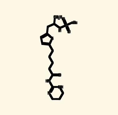 CCCCS(=O)(=O)NC(Cc1ccc(CCCCC(=O)NC2=NCCCN2)s1)C(=O)O